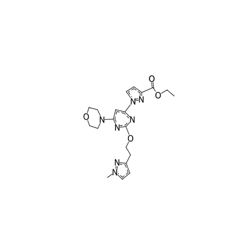 CCOC(=O)c1ccn(-c2cc(N3CCOCC3)nc(OCCc3ccn(C)n3)n2)n1